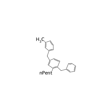 CCCCCc1cc(Cc2cccc(C)c2)ccc1Cc1ccccc1